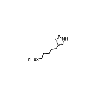 CCCCCCCCCCCc1c[nH]pn1